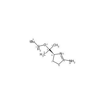 CC(C)(C)[SiH2]OC(C)(C)[C@@H]1CCC(N)=N1